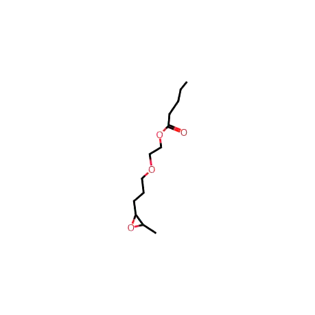 CCCCC(=O)OCCOCCCC1OC1C